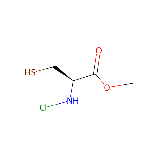 COC(=O)[C@H](CS)NCl